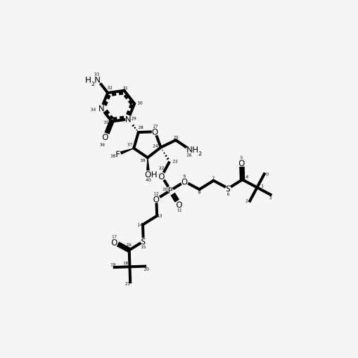 CC(C)(C)C(=O)SCCOP(=O)(OCCSC(=O)C(C)(C)C)OC[C@@]1(CN)O[C@@H](n2ccc(N)nc2=O)[C@H](F)[C@@H]1O